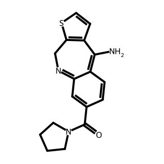 NC1=c2ccc(C(=O)N3CCCC3)cc2=NCc2sccc21